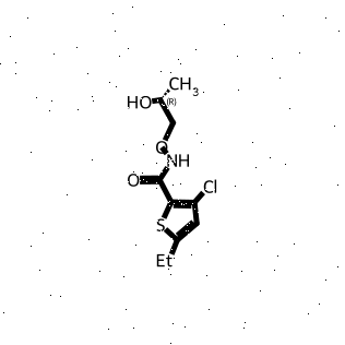 CCc1cc(Cl)c(C(=O)NOC[C@@H](C)O)s1